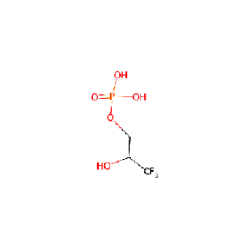 O=P(O)(O)OCC(O)C(F)(F)F